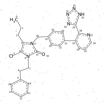 CCCc1c(Cl)n(CCc2ccccc2)c(=O)n1Cc1ccc(-c2cccnc2-c2nnn[nH]2)cc1